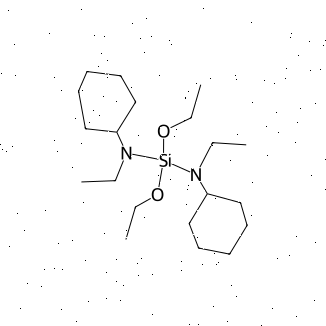 CCO[Si](OCC)(N(CC)C1CCCCC1)N(CC)C1CCCCC1